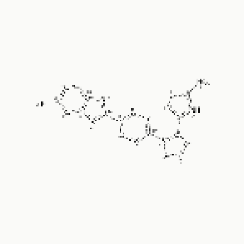 O=[N+]([O-])c1ccc(-c2cncn2-c2ccc(-c3nc4ccc(F)cc4s3)cc2)[nH]1